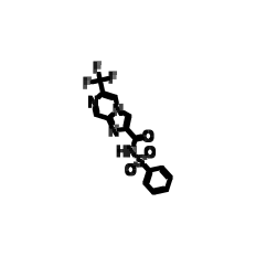 O=C(NS(=O)(=O)c1ccccc1)c1cn2cc(C(F)(F)F)ncc2n1